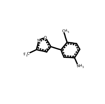 Cc1ccc(N)cc1-c1cc(C(F)(F)F)no1